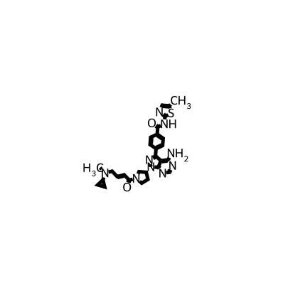 Cc1cnc(NC(=O)c2ccc(-c3nn([C@@H]4CCN(C(=O)C=CCN(C)C5CC5)C4)c4ncnc(N)c34)cc2)s1